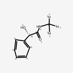 [2H]C([2H])([2H])NC(=O)[C@@H](O)c1ccccc1